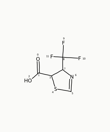 O=C(O)C1SC=NC1C(F)(F)F